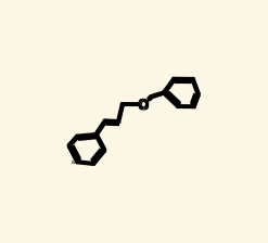 [c]1ccc(C=CCOCc2ccccc2)cc1